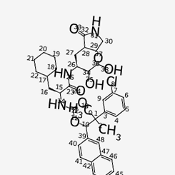 CC(C)(c1cccc(Cl)c1)C(OC(=O)N[C@@H](CC1CCCCC1)C(=O)N[C@@H](CC1CCNC1=O)C(O)C(=O)O)c1ccc2ccccc2c1